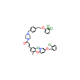 Cc1cc(C=CC(=O)N2CCN(Cc3ccc(CCOc4ccccc4Cl)cc3)CC2)cc(Cl)c1Oc1ccc(OCc2ccccc2Cl)cn1.Cl